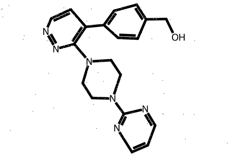 OCc1ccc(-c2ccnnc2N2CCN(c3ncccn3)CC2)cc1